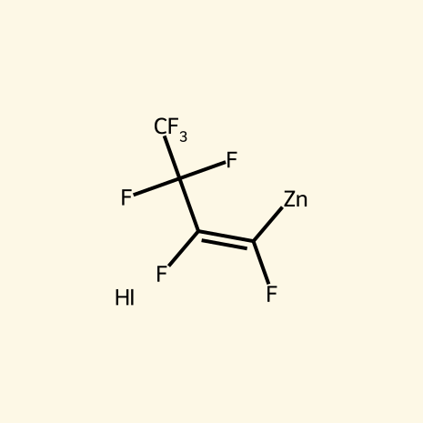 F[C]([Zn])=C(F)C(F)(F)C(F)(F)F.I